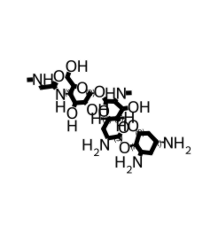 CNCC(=O)N[C@@H]1C(CO)O[C@H](OC2O[C@H]3CC(N)[C@@H](O[C@@H]4C(N)C[C@@H](N)C[C@H]4O)O[C@H]3C(O)C2NC)C(O)C1O